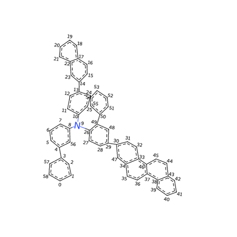 c1ccc(-c2cccc(N(c3ccc(-c4ccc5ccccc5c4)cc3)c3ccc(-c4ccc5c(ccc6c7ccccc7ccc56)c4)cc3-c3ccccc3)c2)cc1